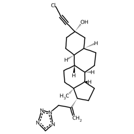 C=C(Cn1ncnn1)[C@H]1CC[C@H]2[C@@H]3CC[C@@H]4C[C@](O)(C#CCl)CC[C@@H]4[C@H]3CC[C@]12C